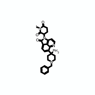 O=C1CCC(N2C(=O)c3ccc(C4(P)CCN(Cc5ccccc5)CC4)c4nccc2c34)C(=O)N1I